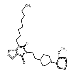 CCCCCCCCn1c(=O)n(CCN2CCN(c3ccccc3OC)CC2)c(=O)c2cscc21